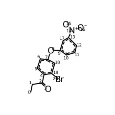 CCC(=O)c1ccc(Oc2cccc([N+](=O)[O-])c2)cc1Br